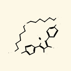 CCCCCC1=C(c2ccc(CCCC)cc2)[N+](=[N-])C(c2ccc(CC)cc2)=C1CCCC.CCCCCCCCCCCCCCC[CH2][Ni][CH2]CCCCCCCCCCCCCCC